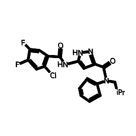 CC(C)CN(C(=O)c1cc(NC(=O)c2cc(F)c(F)cc2Cl)[nH]n1)c1ccccc1